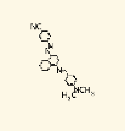 CN(C)c1ccc(C=Nc2ccc(N=Nc3ccc(C#N)cc3)c3ccccc23)cc1